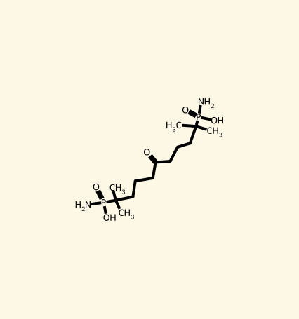 CC(C)(CCCC(=O)CCCC(C)(C)P(N)(=O)O)P(N)(=O)O